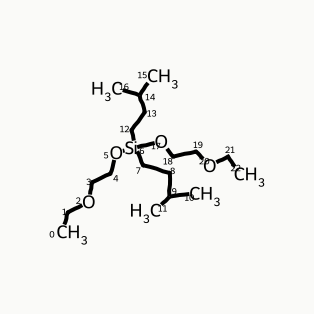 CCOCCO[Si](CCC(C)C)(CCC(C)C)OCCOCC